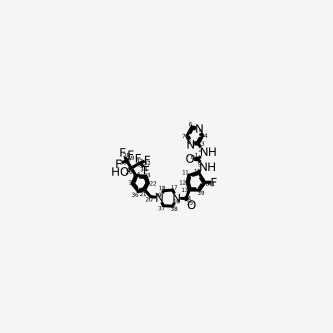 O=C(Nc1cnccn1)Nc1ccc(C(=O)N2CCN(Cc3ccc(C(O)(C(F)(F)F)C(F)(F)F)cc3)CC2)cc1F